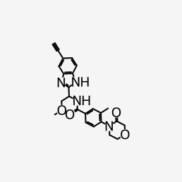 C#Cc1ccc2[nH]c(C(COC)NC(=O)c3ccc(N4CCOCC4=O)c(C)c3)nc2c1